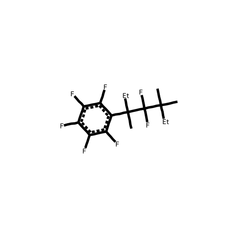 CCC(C)(C)C(F)(F)C(C)(CC)c1c(F)c(F)c(F)c(F)c1F